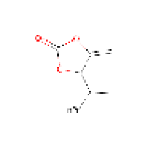 C=C1OC(=O)OC1C(C)CCC